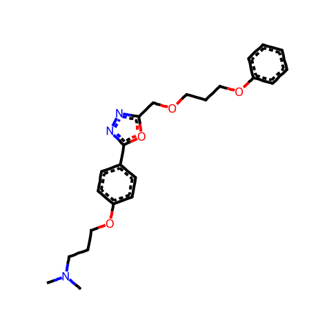 CN(C)CCCOc1ccc(-c2nnc(COCCCOc3ccccc3)o2)cc1